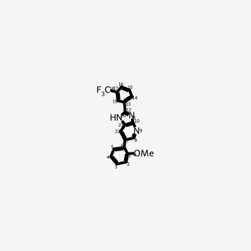 COc1ccccc1-c1cnc2nc(-c3cccc(C(F)(F)F)c3)[nH]c2c1